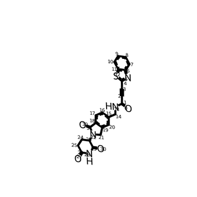 O=C(C#Cc1nc2ccccc2s1)NCc1ccc2c(c1)CN(C1CCC(=O)NC1=O)C2=O